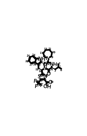 CC(C)C[C@H](NC(=O)N1CCCCCC1)C(=O)N[C@H](Cc1c[nH]c2ccccc12)c1nc(C(=O)O)c(C(F)(F)F)s1